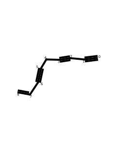 C#CC#CCC#CC=C